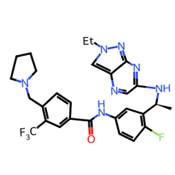 CCn1cc2ncc(N[C@@H](C)c3cc(NC(=O)c4ccc(CN5CCCC5)c(C(F)(F)F)c4)ccc3F)nc2n1